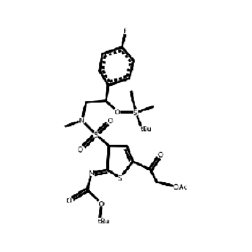 CC(=O)OCC(=O)C1=CC(S(=O)(=O)N(C)CC(O[Si](C)(C)C(C)(C)C)c2ccc(F)cc2)C(=NC(=O)OC(C)(C)C)S1